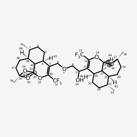 C[C@@H]1CC[C@H]2C(COCC(O)C3=C(C(F)(F)F)O[C@@H]4O[C@]5(C)CC[C@H]6[C@H](C)CC[C@@H]3[C@@]46OO5)=C(C(F)(F)F)O[C@@H]3O[C@]4(C)CC[C@@H]1[C@]32OO4